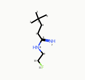 CC(C)(C)CCC(=N)NCCF